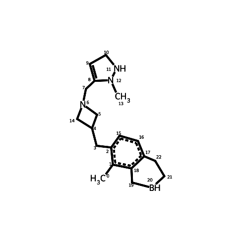 Cc1c(CC2CN(CC3=CCNN3C)C2)ccc2c1CBCC2